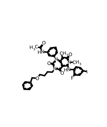 CC(=O)Nc1cccc(-n2c(=O)n(CCCCOCc3ccccc3)c(=O)c3c(Nc4ccc(I)cc4F)n(C)c(=O)c(C)c32)c1